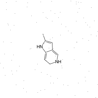 Cc1cc2c([nH]1)=CCNC=2